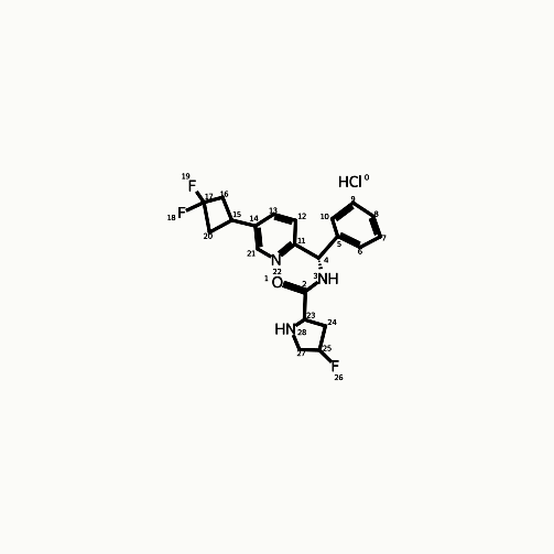 Cl.O=C(N[C@@H](c1ccccc1)c1ccc(C2CC(F)(F)C2)cn1)C1CC(F)CN1